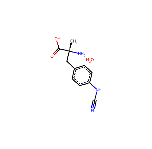 C[C@@](N)(Cc1ccc(NC#N)cc1)C(=O)O.O